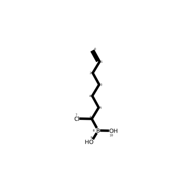 C=CCCCCC(Cl)B(O)O